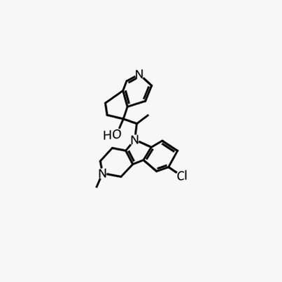 CC(n1c2c(c3cc(Cl)ccc31)CN(C)CC2)C1(O)CCc2cnccc21